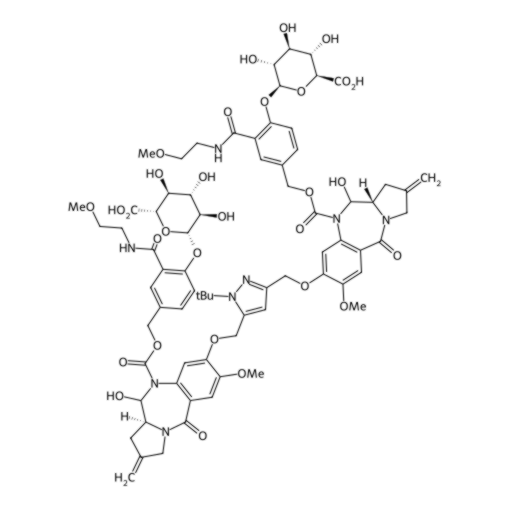 C=C1C[C@H]2C(O)N(C(=O)OCc3ccc(O[C@@H]4O[C@H](C(=O)O)[C@@H](O)[C@H](O)[C@H]4O)c(C(=O)NCCOC)c3)c3cc(OCc4cc(COc5cc6c(cc5OC)C(=O)N5CC(=C)C[C@H]5C(O)N6C(=O)OCc5ccc(O[C@@H]6O[C@H](C(=O)O)[C@@H](O)[C@H](O)[C@H]6O)c(C(=O)NCCOC)c5)n(C(C)(C)C)n4)c(OC)cc3C(=O)N2C1